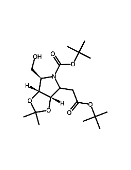 CC(C)(C)OC(=O)CC1[C@@H]2OC(C)(C)O[C@@H]2[C@@H](CO)N1C(=O)OC(C)(C)C